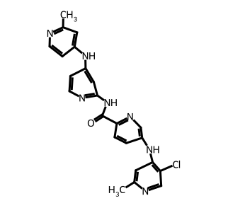 Cc1cc(Nc2ccnc(NC(=O)c3ccc(Nc4cc(C)ncc4Cl)cn3)c2)ccn1